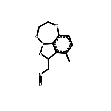 Cc1ccc2c3c1C(CN=O)OB3OCCO2